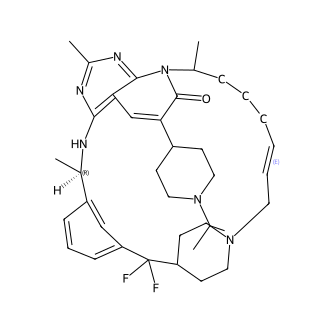 Cc1nc2c3cc(C4CCN(C(C)C)CC4)c(=O)n(c3n1)C(C)CCC/C=C/CN1CCC(CC1)C(F)(F)c1cccc(c1)[C@@H](C)N2